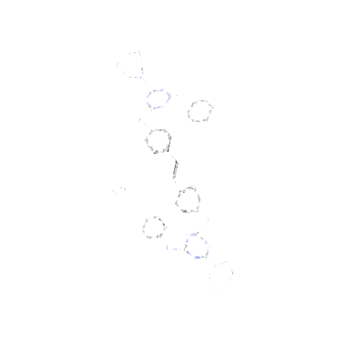 C(=Cc1ccc(Nc2nc(Nc3ccccc3)nc(N3CCOCC3)n2)cc1)c1ccc(Nc2nc(Nc3ccccc3)nc(N3CCOCC3)n2)cc1.[Na].[Na]